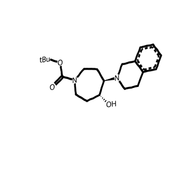 CC(C)(C)OC(=O)N1CC[C@@H](O)[C@H](N2CCc3ccccc3C2)CC1